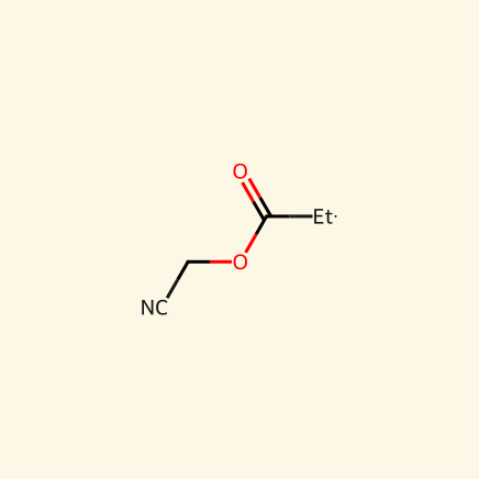 C[CH]C(=O)OCC#N